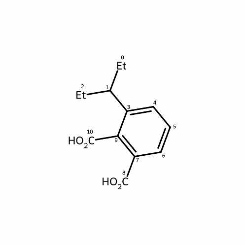 CCC(CC)c1cccc(C(=O)O)c1C(=O)O